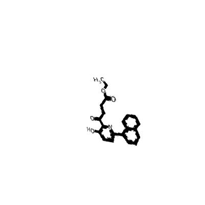 CCOC(=O)CCC(=O)c1nc(-c2cccc3ccccc23)ccc1O